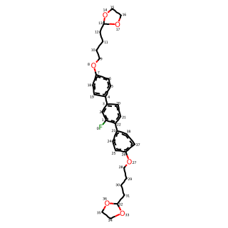 Fc1cc(-c2ccc(OCCCCC3OCCO3)cc2)ccc1-c1ccc(OCCCCC2OCCO2)cc1